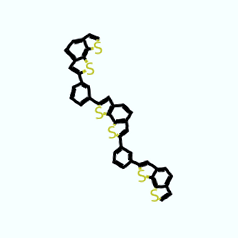 c1cc(-c2cc3ccc4ccsc4c3s2)cc(-c2cc3ccc4cc(-c5cccc(-c6cc7ccc8ccsc8c7s6)c5)sc4c3s2)c1